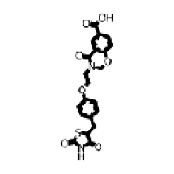 O=C1NC(=O)C(Cc2ccc(OCCN3COc4ccc(C(=O)O)cc4C3=O)cc2)S1